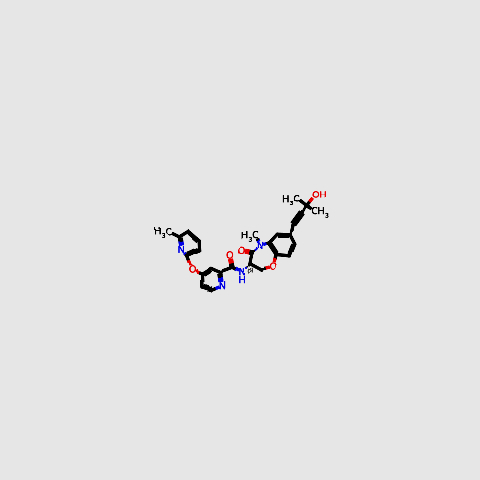 Cc1cccc(Oc2ccnc(C(=O)N[C@H]3COc4ccc(C#CC(C)(C)O)cc4N(C)C3=O)c2)n1